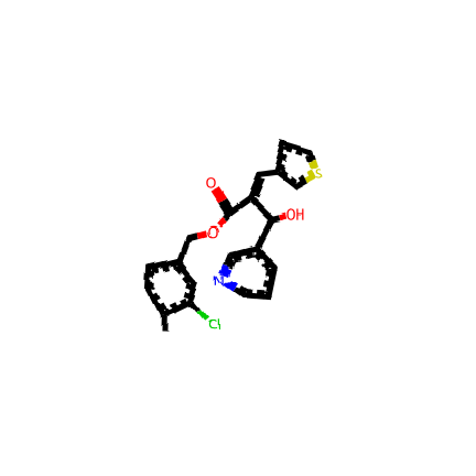 Cc1ccc(COC(=O)C(=Cc2ccsc2)C(O)c2cccnc2)cc1Cl